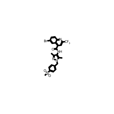 Cc1nn(Cc2ccc(S(C)(=O)=O)cc2)c(C)c1NC(=O)c1cc(C(F)(F)F)nc2ccc(Br)cc12